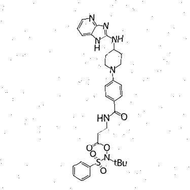 CC(C)(C)N(OC(=O)CCNC(=O)c1ccc(N2CCC(Nc3nc4ncccc4[nH]3)CC2)cc1)S(=O)(=O)c1ccccc1